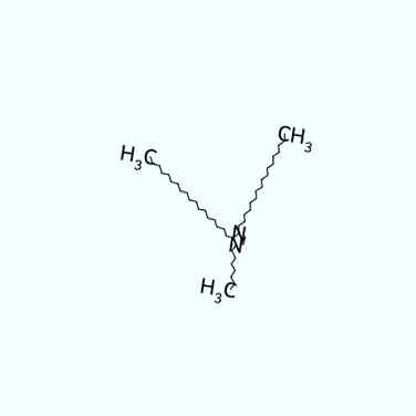 CCCCCCCCCCCCCCCCCCC1N(CCCCCCC)C=CN1CCCCCCCCCCCCCCCCC